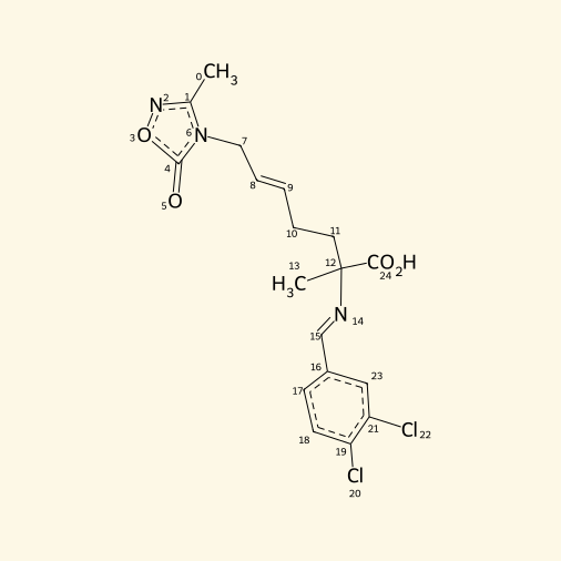 Cc1noc(=O)n1C/C=C/CCC(C)(/N=C/c1ccc(Cl)c(Cl)c1)C(=O)O